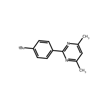 Cc1cc(C)nc(-c2ccc(C(C)(C)C)cc2)n1